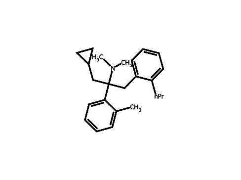 [CH2]c1ccccc1C(Cc1ccccc1CCC)(CC1CC1)N(C)C